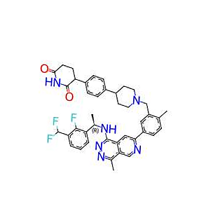 Cc1ccc(-c2cc3c(N[C@H](C)c4cccc(C(F)F)c4F)nnc(C)c3cn2)cc1CN1CCC(c2ccc(C3CCC(=O)NC3=O)cc2)CC1